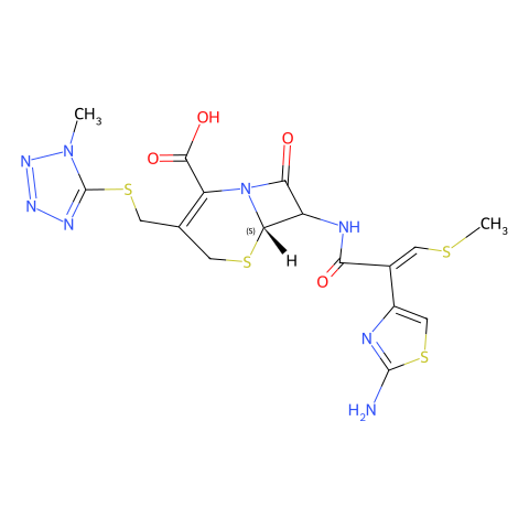 CSC=C(C(=O)NC1C(=O)N2C(C(=O)O)=C(CSc3nnnn3C)CS[C@@H]12)c1csc(N)n1